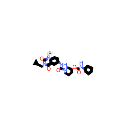 CC(C)n1c(=O)n(CC2CC2)c(=O)c2cc(NC(=O)N3CCCC(OC(=O)Nc4ccccc4)C3)ccc21